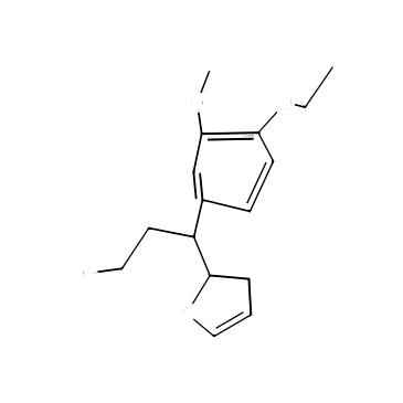 CCOc1ccc(C(CCO)C2CC=CS2)cc1OC